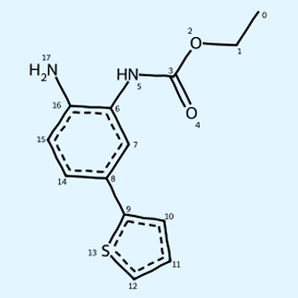 CCOC(=O)Nc1cc(-c2cccs2)ccc1N